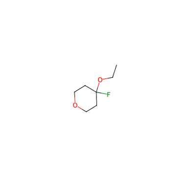 CCOC1(F)CCOCC1